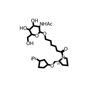 CC(=O)NC1C(OCCCCCC(=O)N2CCC[C@H]2COC2CCC(C(C)C)C2)OC(CO)C(O)C1O